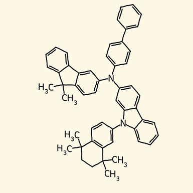 CC1(C)CCC(C)(C)c2cc(-n3c4ccccc4c4ccc(N(c5ccc(-c6ccccc6)cc5)c5ccc6c(c5)-c5ccccc5C6(C)C)cc43)ccc21